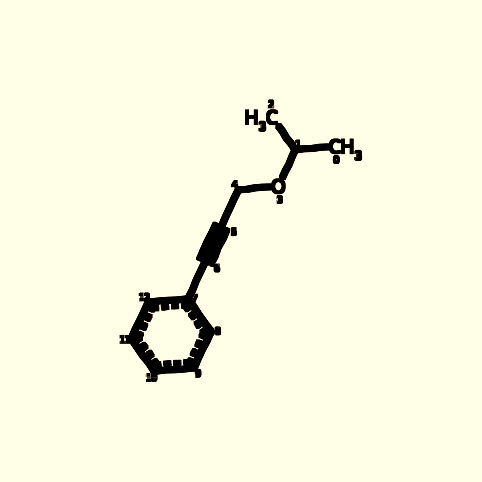 CC(C)OCC#Cc1ccccc1